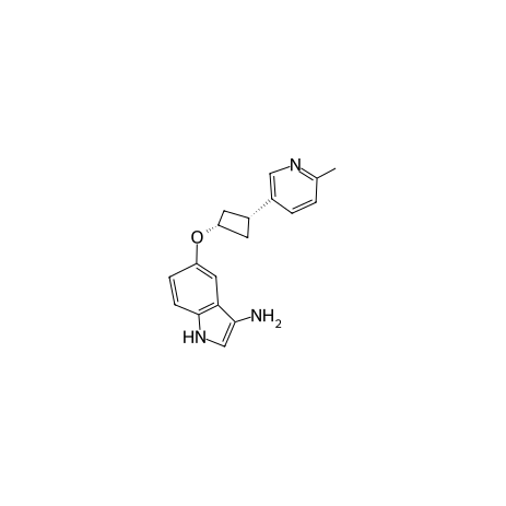 Cc1ccc([C@H]2C[C@@H](Oc3ccc4[nH]cc(N)c4c3)C2)cn1